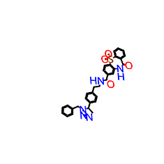 O=C(NCCc1ccc(C2CN=NN2Cc2ccccc2)cc1)c1ccc2c(c1)NC(=O)c1ccccc1S2(=O)=O